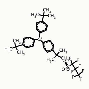 CC(C)(C)c1ccc([S+](c2ccc(C(C)(C)C)cc2)c2ccc(C(C)(C)C)cc2)cc1.O=S(=O)([O-])C(F)(F)C(F)(F)C(F)(F)F